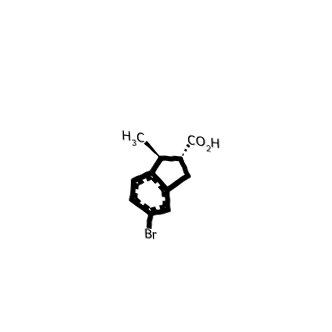 C[C@@H]1c2ccc(Br)cc2C[C@H]1C(=O)O